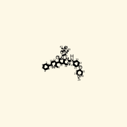 Cc1nc(-c2ccccc2)ccc1-c1cc2cnc(Nc3ccc(OC4CCN(C)CC4)cc3)nc2n(CCN(C)S(C)(=O)=O)c1=O